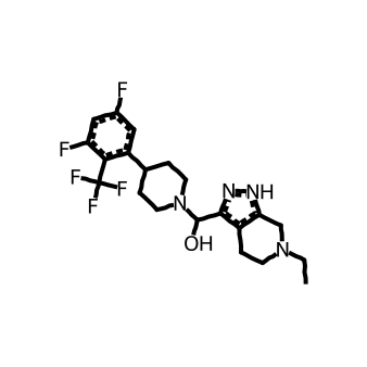 CCN1CCc2c(C(O)N3CCC(c4cc(F)cc(F)c4C(F)(F)F)CC3)n[nH]c2C1